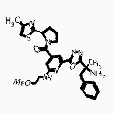 COCCNc1cc(C(=O)N2CCC[C@@H]2c2nc(C)cs2)cc(-c2nnc([C@](C)(N)Cc3ccccc3)o2)n1